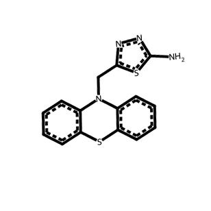 Nc1nnc(CN2c3ccccc3Sc3ccccc32)s1